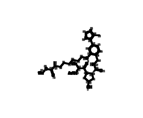 CC(=O)N[C@H](C(=O)N1C[C@H](O)C[C@H]1C(=O)NCc1ccc(-c2scnc2C)cc1OCCCCCCNC(=O)OC(C)(C)C)C(C)(C)C